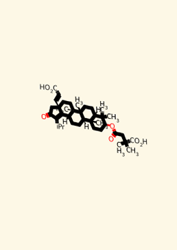 CC(C)C1=C2[C@H]3CC[C@@H]4[C@@]5(C)CC[C@H](OC(=O)CC(C)(C)C(=O)O)C(C)(C)[C@@H]5CC[C@@]4(C)[C@]3(C)CC[C@@]2(C=CC(=O)O)CC1=O